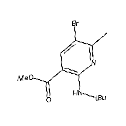 COC(=O)c1cc(Br)c(C)nc1NC(C)(C)C